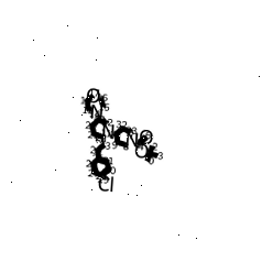 CC(C)(C)OC(=O)N1CCC(N2C[C@H](N3CCOCC3)CC[C@@H]2CCc2ccc(Cl)cc2)CC1